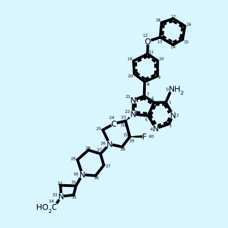 Nc1ncnc2c1c(-c1ccc(Oc3ccccc3)cc1)nn2[C@H]1CCN(C2CCN(C3CN(C(=O)O)C3)CC2)C[C@@H]1F